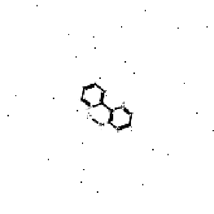 N#CS.c1ccc(-c2ccccn2)nc1